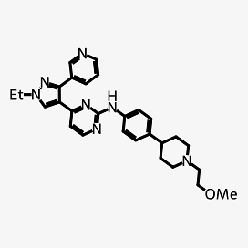 CCn1cc(-c2ccnc(Nc3ccc(C4CCN(CCOC)CC4)cc3)n2)c(-c2cccnc2)n1